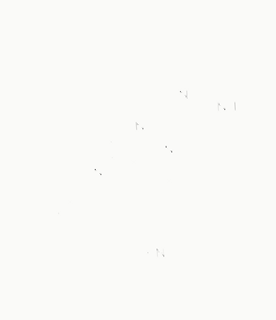 N#CCC1CCC(Cn2c(CC(=O)N3CCC(C(F)(F)F)CC3)nc3cnc4[nH]ccc4c32)CC1